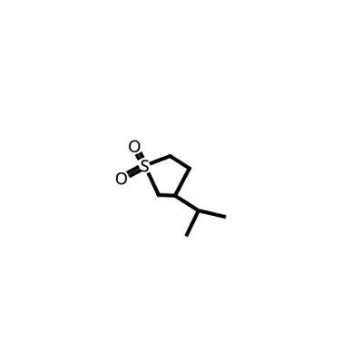 CC(C)C1CCS(=O)(=O)C1